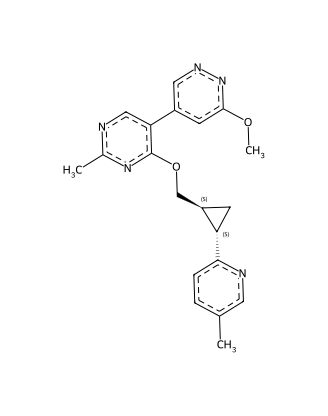 COc1cc(-c2cnc(C)nc2OC[C@H]2C[C@@H]2c2ccc(C)cn2)cnn1